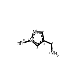 CCCn1cc(CN)cn1